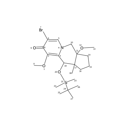 COc1c2n(cc(Br)c1=O)CC1(OC)CCCC1(C)C2O[Si](C)(C)C(C)(C)C